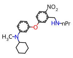 CCCNCc1cc(Oc2cccc(N(C)C3CCCCC3)c2)ccc1[N+](=O)[O-]